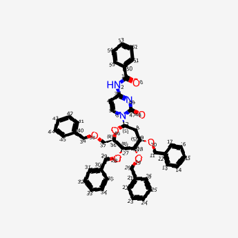 O=C(Nc1ccn([C@@H]2C[C@H](OCc3ccccc3)[C@H](OCc3ccccc3)[C@H](OCc3ccccc3)[C@@H](COCc3ccccc3)O2)c(=O)n1)c1ccccc1